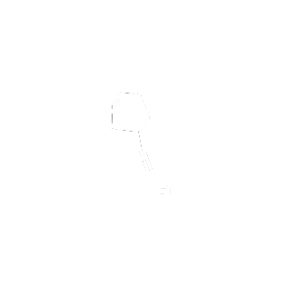 BrC#CC1CC=[C]CC1